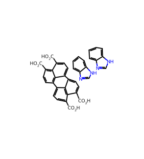 O=C(O)c1ccc2c3ccc(C(=O)O)c4c(C(=O)O)ccc(c5ccc(C(=O)O)c1c25)c43.c1ccc2[nH]cnc2c1.c1ccc2[nH]cnc2c1